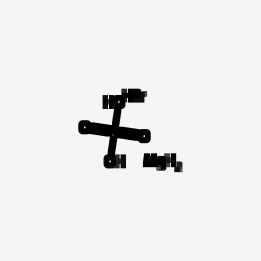 Br.O=S(=O)(O)O.[MgH2]